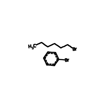 Brc1ccccc1.CCCCCCBr